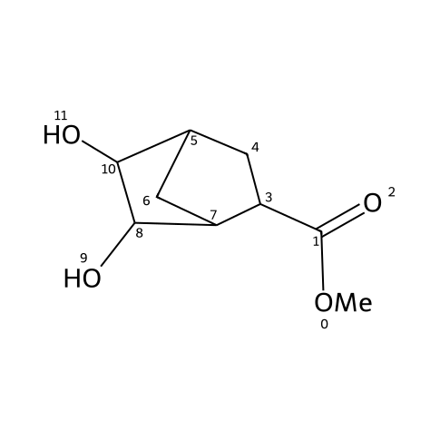 COC(=O)C1CC2CC1C(O)C2O